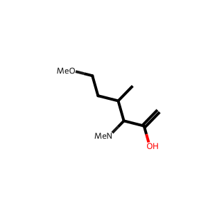 C=C(O)C(NC)C(C)CCOC